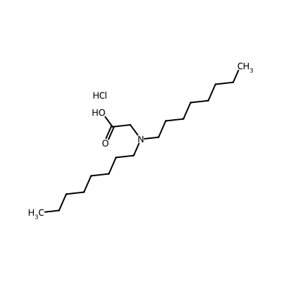 CCCCCCCCN(CCCCCCCC)CC(=O)O.Cl